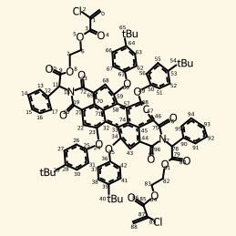 C=C(Cl)C(=O)OCCOC(=O)C(c1ccccc1)N1C(=O)c2cc(Oc3ccc(C(C)(C)C)cc3)c3c4c(Oc5ccc(C(C)(C)C)cc5)cc5c6c(cc(Oc7ccc(C(C)(C)C)cc7)c(c7c(Oc8ccc(C(C)(C)C)cc8)cc(c2c37)C1=O)c64)C(=O)N(C(C(=O)OCCOC(=O)C(=C)Cl)c1ccccc1)C5=O